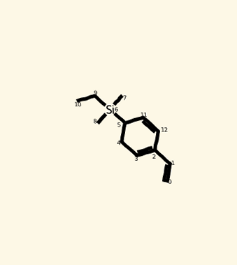 C=CC1=CCC([Si](C)(C)CC)C=C1